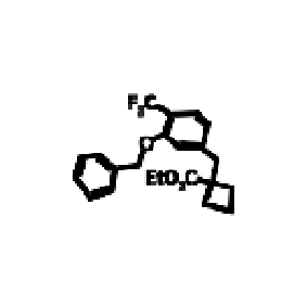 CCOC(=O)C1(Cc2ccc(C(F)(F)F)c(OCc3ccccc3)c2)CCC1